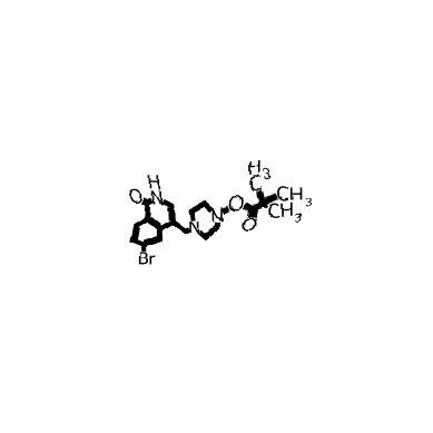 CC(C)(C)C(=O)ON1CCN(Cc2c[nH]c(=O)c3ccc(Br)cc23)CC1